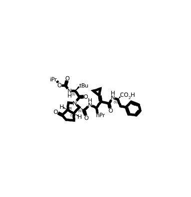 CCCC(NC(=O)[C@@H]1[C@H]2CCC(=O)[C@H]2CN1C(=O)[C@@H](NC(=O)OC(C)C)C(C)(C)C)C(C(=O)N[C@@H](Cc1ccccc1)C(=O)O)=C1CC1